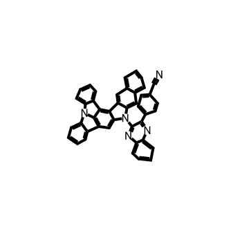 N#Cc1ccc(-c2nc3ccccc3nc2-n2c3cc4ccccc4cc3c3c4c5ccccc5n5c6ccccc6c(cc32)c45)cc1